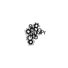 CC(C)C[C@H](NC(=O)c1ccccc1NC(=O)c1ccccc1)C(=O)CN1CCCc2ccccc2C1